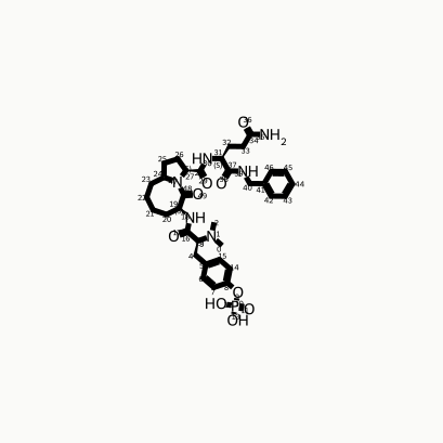 CN(C)[C@@H](Cc1ccc(OP(=O)(O)O)cc1)C(=O)N[C@H]1CCCCC2CC[C@@H](C(=O)N[C@@H](CCC(N)=O)C(=O)NCc3ccccc3)N2C1=O